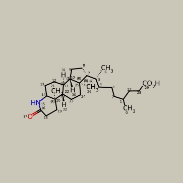 CC(CCC[C@@H](C)[C@H]1CC[C@H]2[C@@H]3CCC4NC(=O)CC[C@]4(C)[C@H]3CC[C@]12C)CCC(=O)O